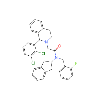 O=C(CN1CCc2ccccc2C1c1cccc(Cl)c1Cl)N(Cc1ccccc1F)C1Cc2ccccc2C1